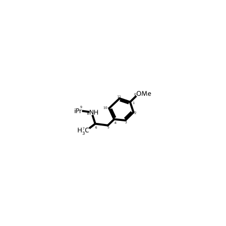 COc1ccc(CC(C)NC(C)C)cc1